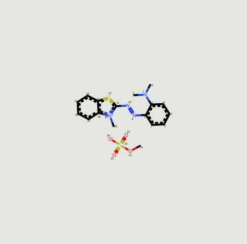 CN(C)c1ccccc1N=Nc1sc2ccccc2[n+]1C.COS(=O)(=O)[O-]